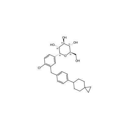 OC[C@H]1O[C@H](c2ccc(Cl)c(Cc3ccc(C4CCC5(CC4)CC5)cc3)c2)[C@H](O)[C@@H](O)[C@@H]1O